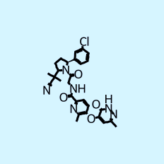 Cc1cc(Oc2ccc(C(=O)NCC(=O)N3C(C(C)(C)C#N)CC[C@H]3c3cccc(Cl)c3)nc2C)c(=O)[nH]n1